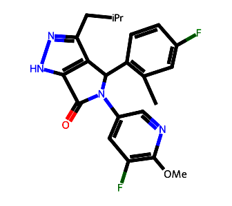 COc1ncc(N2C(=O)c3[nH]nc(CC(C)C)c3C2c2ccc(F)cc2C)cc1F